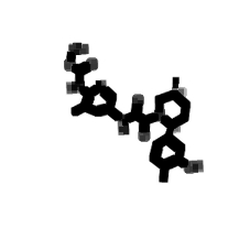 Cc1ccc([C@@H]2CC[C@@H](C)CN2C(=O)C(=O)Nc2cnc(NC(=O)OC(C)(C)C)c(C)c2)cc1O